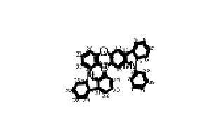 c1ccc(-n2c3ccccc3c3cc4c(cc32)B2c3c(cccc3-n3c5ccccc5c5cccc2c53)O4)cc1